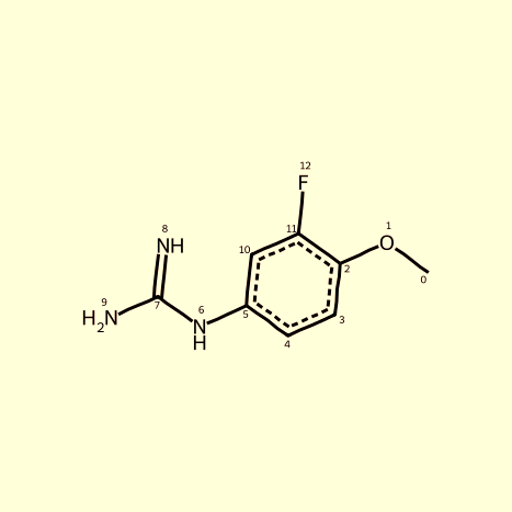 COc1ccc(NC(=N)N)cc1F